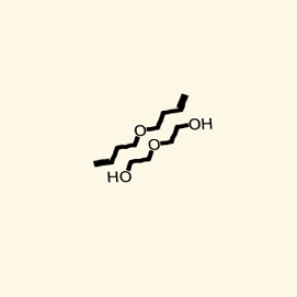 C=CCCOCCC=C.OCCOCCO